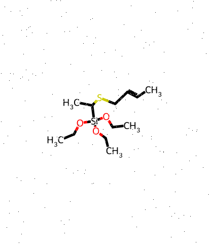 CC=CCSC(C)[Si](OCC)(OCC)OCC